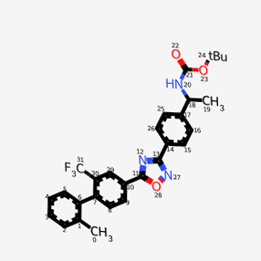 Cc1ccccc1-c1ccc(-c2nc(-c3ccc(C(C)NC(=O)OC(C)(C)C)cc3)no2)cc1C(F)(F)F